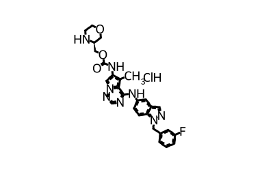 Cc1c(NC(=O)OC[C@@H]2COCCN2)cn2ncnc(Nc3ccc4c(cnn4Cc4cccc(F)c4)c3)c12.Cl